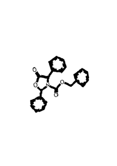 O=C1OC(c2ccccc2)N(C(=O)OCc2ccccc2)C1c1ccccc1